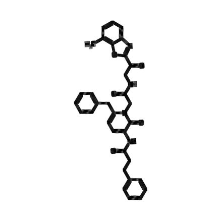 Cc1cccc2nc(C(=O)CNC(=O)Cn3c(Cc4ccccc4)ccc(NC(=O)CCc4ccccc4)c3=O)oc12